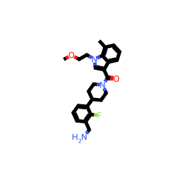 COCCn1cc(C(=O)N2CCC(c3cccc(CN)c3F)CC2)c2cccc(C)c21